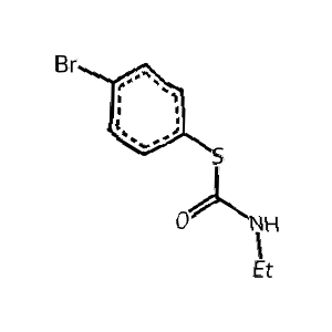 CCNC(=O)Sc1ccc(Br)cc1